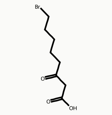 O=C(O)CC(=O)CCCCCBr